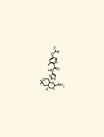 Cc1cc(OC(F)F)cnc1C(=O)Nc1csc([C@@]23COC(C)(C)C[C@@H]2CSC(N)=N3)n1